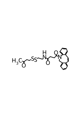 CC(=O)CCSSCCNC(=O)CCC(=O)N1Cc2ccccc2/C=C\c2ccccc21